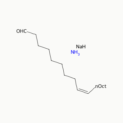 CCCCCCCC/C=C\CCCCCCCC=O.N.[NaH]